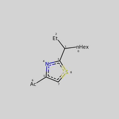 CCCCCCC(CC)c1nc(C(C)=O)cs1